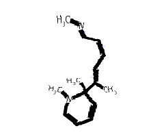 C/N=C/C=C\C=C(/C)C1(C)C=CC=CN1C